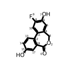 O=C1OCc2cc(O)c(F)cc2-c2ccc(O)cc21